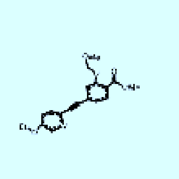 CCOc1ccc(C#Cc2ccc(C(=O)OC)c(OCOC)c2)nc1